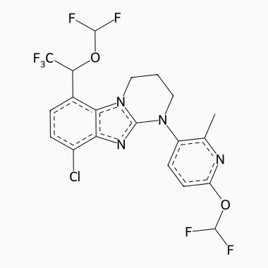 Cc1nc(OC(F)F)ccc1N1CCCn2c1nc1c(Cl)ccc(C(OC(F)F)C(F)(F)F)c12